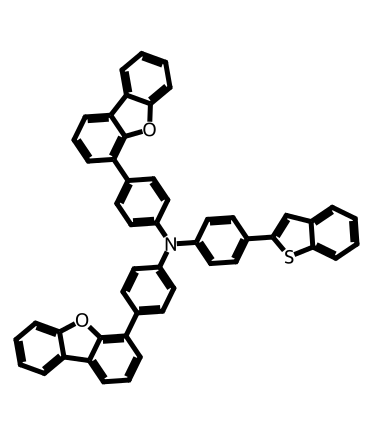 c1ccc2sc(-c3ccc(N(c4ccc(-c5cccc6c5oc5ccccc56)cc4)c4ccc(-c5cccc6c5oc5ccccc56)cc4)cc3)cc2c1